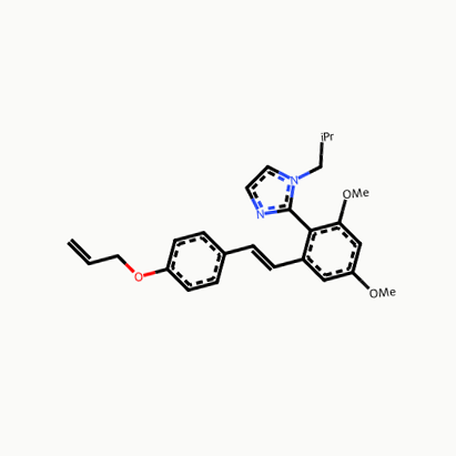 C=CCOc1ccc(C=Cc2cc(OC)cc(OC)c2-c2nccn2CC(C)C)cc1